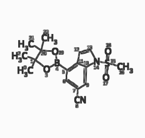 CC1(C)OB(c2cc(C#N)cc3c2ccn3S(C)(=O)=O)OC1(C)C